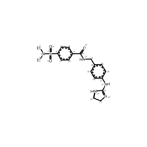 CCN(CC)S(=O)(=O)c1ccc(C(=O)NCc2ccc(NC3=NCCN3)cc2)cc1